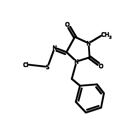 CN1C(=O)/C(=N/SCl)N(Cc2ccccc2)C1=O